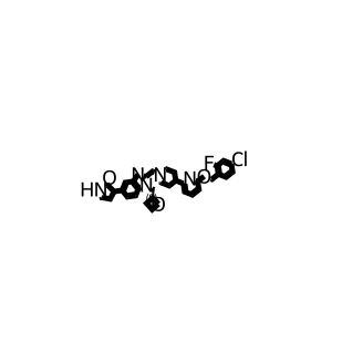 O=C1NCCC1c1ccc2c(c1)nc(CN1CCC(c3cccc(OCc4ccc(Cl)cc4F)n3)CC1)n2C[C@@H]1CCO1